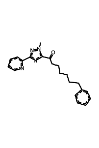 Cn1nc(-c2ccccn2)nc1C(=O)CCCCCCc1ccccc1